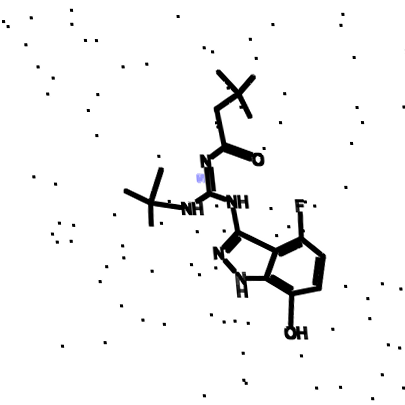 CC(C)(C)CC(=O)/N=C(\Nc1n[nH]c2c(O)ccc(F)c12)NC(C)(C)C